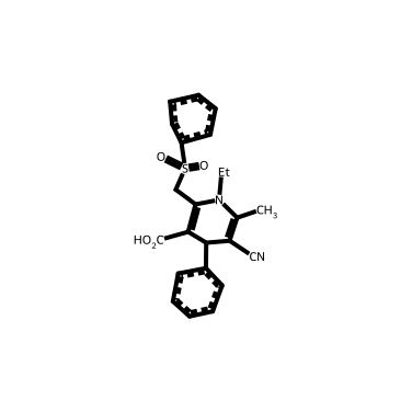 CCN1C(C)=C(C#N)C(c2ccccc2)C(C(=O)O)=C1CS(=O)(=O)c1ccccc1